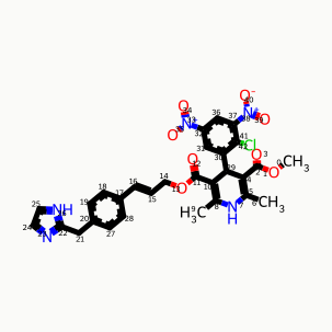 COC(=O)C1=C(C)NC(C)=C(C(=O)OCC=Cc2ccc(Cc3ncc[nH]3)cc2)C1c1cc([N+](=O)[O-])cc([N+](=O)[O-])c1Cl